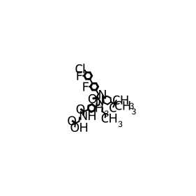 CCCC[C@H](c1ccc(C(=O)NCCC(=O)O)cc1)N1C(=O)C(c2ccc(-c3ccc(Cl)c(F)c3)c(F)c2)=NC12CCC(C(C)(C)C)CC2